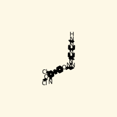 CC(C)(c1ccc(OCc2ccnc(N3CC4(CCN(C5CCN(C6CNC6)CC5)CC4)C3)n2)cc1)c1cc(Cl)c(OCCCl)c(C#N)c1